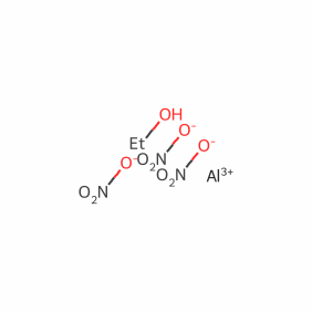 CCO.O=[N+]([O-])[O-].O=[N+]([O-])[O-].O=[N+]([O-])[O-].[Al+3]